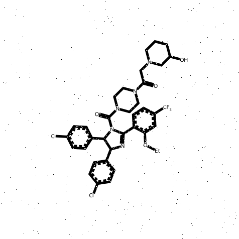 CCOc1cc(C(F)(F)F)ccc1C1=NC(c2ccc(Cl)cc2)C(c2ccc(Cl)cc2)N1C(=O)N1CCN(C(=O)CN2CCCC(O)C2)CC1